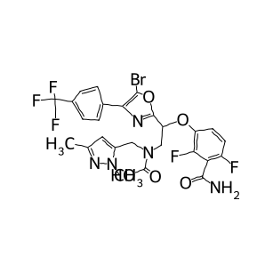 Cc1cc(CN(CC(Oc2ccc(F)c(C(N)=O)c2F)c2nc(-c3ccc(C(F)(F)F)cc3)c(Br)o2)C(=O)O)n(C)n1